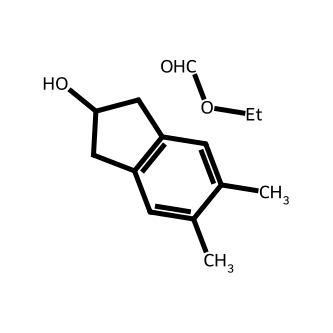 CCOC=O.Cc1cc2c(cc1C)CC(O)C2